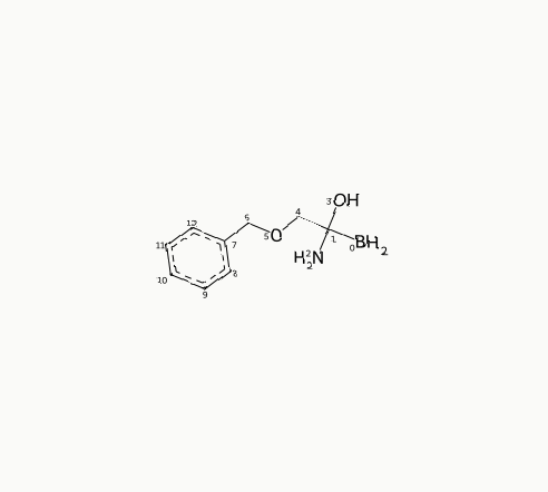 BC(N)(O)COCc1ccccc1